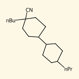 CCCCC1(C#N)CCC(C2CCC(CCC)CC2)CC1